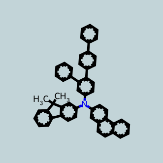 CC1(C)c2ccccc2-c2ccc(N(c3ccc(-c4ccc(-c5ccccc5)cc4)c(-c4ccccc4)c3)c3ccc4c(ccc5ccccc54)c3)cc21